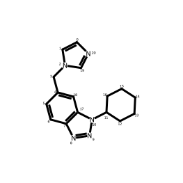 c1cn(Cc2ccc3nnn(C4CCCCC4)c3c2)cn1